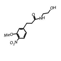 COc1cc(CCC(=O)NCCO)ccc1[N+](=O)[O-]